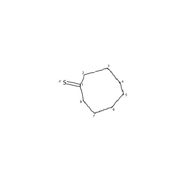 S=C1[CH]CCCCCC1